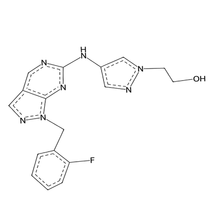 OCCn1cc(Nc2ncc3cnn(Cc4ccccc4F)c3n2)cn1